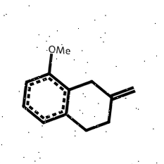 C=C1CCc2cccc(OC)c2C1